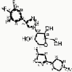 CC(=O)N1CCC(C2=NOC(C[C@H]3O[C@H](CO)[C@H](O)[C@H](n4cc(-c5cc(F)c(F)c(F)c5)nn4)[C@H]3O)C2)CC1